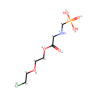 O=C(CNCP(=O)(O)O)OCCOCCCl